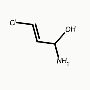 NC(O)C=CCl